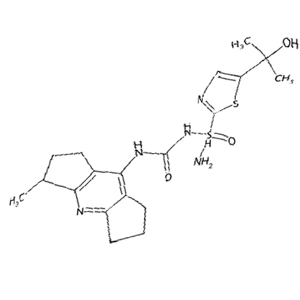 CC1CCc2c1nc1c(c2NC(=O)N[SH](N)(=O)c2ncc(C(C)(C)O)s2)CCC1